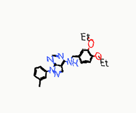 CCOc1ccc(CNc2ncnc3c2cnn3-c2cccc(C)c2)cc1OCC